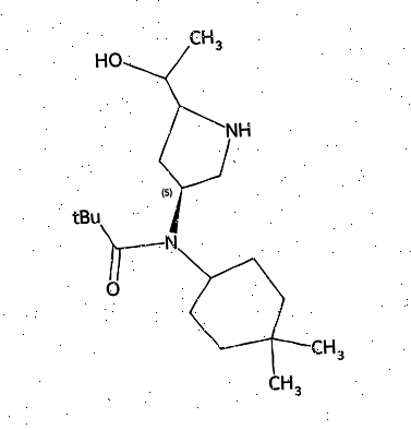 CC(O)C1C[C@H](N(C(=O)C(C)(C)C)C2CCC(C)(C)CC2)CN1